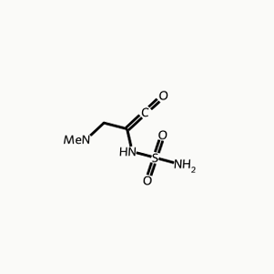 CNCC(=C=O)NS(N)(=O)=O